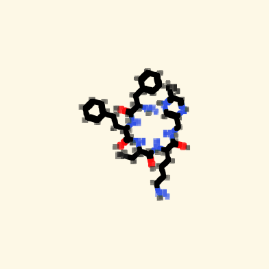 Cc1cnc(CNC(=O)[C@@H](CCCCN)NC(=O)[C@@H](CC(C)C)NC(=O)[C@@H](CCc2ccccc2)NC(=O)[C@H](N)Cc2ccccc2)cn1